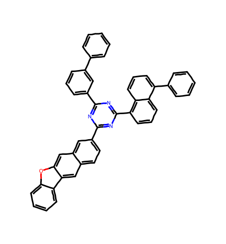 c1ccc(-c2cccc(-c3nc(-c4ccc5cc6c(cc5c4)oc4ccccc46)nc(-c4cccc5c(-c6ccccc6)cccc45)n3)c2)cc1